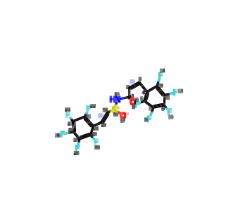 O=C(/C=C\c1c(F)c(F)c(F)c(F)c1F)N[S+]([O-])/C=C/c1c(F)c(F)c(F)c(F)c1F